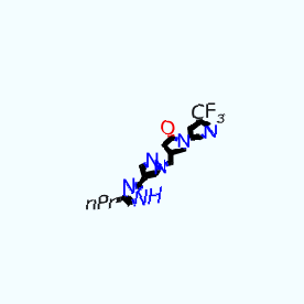 CCCc1c[nH]c(-c2cnn(CC3CC(=O)N(c4cncc(C(F)(F)F)c4)C3)c2)n1